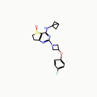 [O-][S+]1CCc2nc(N3CC(Oc4ccc(F)cc4)C3)nc(NC34CC(C3)C4)c21